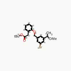 COC(C)c1cc(Br)cc(COc2ccccc2CC(=O)OC(C)(C)C)c1